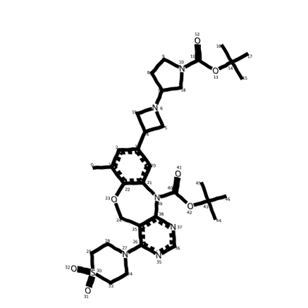 Cc1cc(C2CN(C3CCN(C(=O)OC(C)(C)C)C3)C2)cc2c1OCc1c(N3CCS(=O)(=O)CC3)ncnc1N2C(=O)OC(C)(C)C